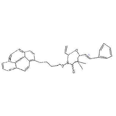 C=CC1OC(/C=C/c2ccccc2)C(C)(C)C(=O)N1OCCCCc1ccc2ccc3cccc4ccc1c2c34